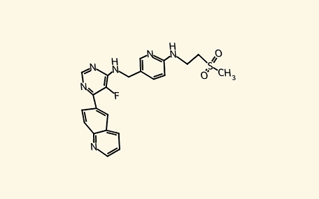 CS(=O)(=O)CCNc1ccc(CNc2ncnc(-c3ccc4ncccc4c3)c2F)cn1